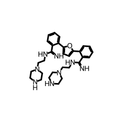 N=C(NCCN1CCNCC1)c1ccccc1-c1ccc(-c2ccccc2C(=N)NCCN2CCNCC2)o1